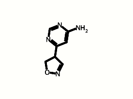 Nc1cc(C2C=NOC2)ncn1